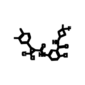 Cc1ccc(C2C(C(=O)Nc3ccc(Cl)c(C(=O)NC4CC(C)(F)C4)c3)C2(Cl)Cl)cc1C